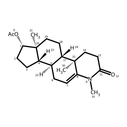 CC(=O)O[C@H]1CC[C@H]2[C@@H]3CC=C4N(C)C(=O)CC[C@]4(C)[C@H]3CC[C@]12C